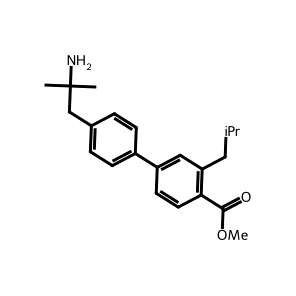 COC(=O)c1ccc(-c2ccc(CC(C)(C)N)cc2)cc1CC(C)C